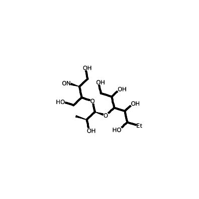 CCC(O)C(O)C(O[C@H](OC(CO)[C@H](CO)N=O)[C@H](C)O)C(O)CO